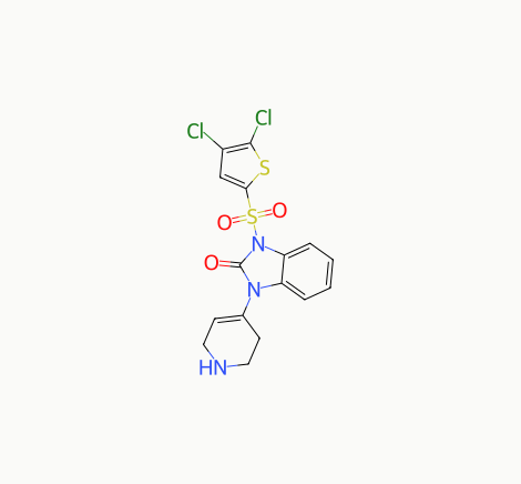 O=c1n(C2=CCNCC2)c2ccccc2n1S(=O)(=O)c1cc(Cl)c(Cl)s1